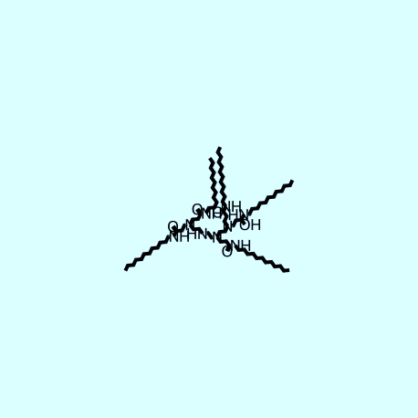 CCCCCCCCCCCCNC(=O)CCN(CCNCCN(CCC(=O)NCCCCCCCCCCCC)CCN(CCC(=O)NCCCCCCCCCCCC)CCC(O)NCCCCCCCCCCCC)CCC(=O)NCCCCCCCCCCCC